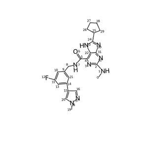 CNc1nc(C(=O)NCc2cc(F)cc(-c3cnn(C)c3)c2)c2[nH]c(C3CCCC3)nc2n1